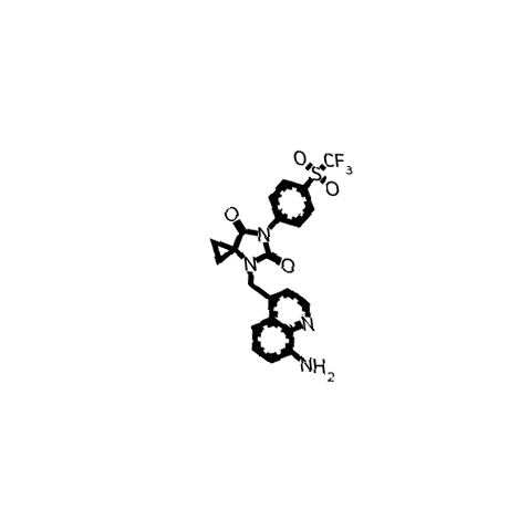 Nc1cccc2c(CN3C(=O)N(c4ccc(S(=O)(=O)C(F)(F)F)cc4)C(=O)C34CC4)ccnc12